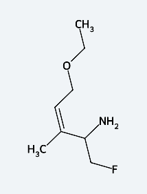 CCOCC=C(C)C(N)CF